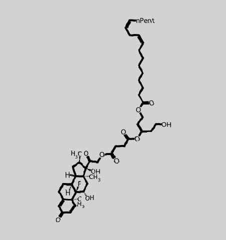 CCCCC/C=C\C/C=C\CCCCCCCC(=O)OCCC(CCO)OC(=O)CCC(=O)OCC(=O)[C@@]1(O)[C@H](C)C[C@H]2[C@@H]3CCC4=CC(=O)C=C[C@]4(C)[C@@]3(F)[C@@H](O)C[C@@]21C